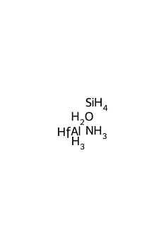 N.O.[AlH3].[Hf].[SiH4]